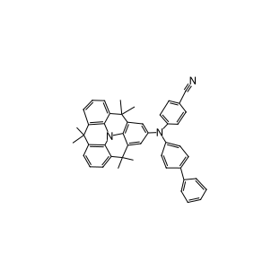 CC1(C)c2cccc3c2N2c4c1cccc4C(C)(C)c1cc(N(c4ccc(C#N)cc4)c4ccc(-c5ccccc5)cc4)cc(c12)C3(C)C